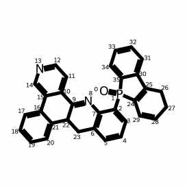 O=P1(c2cccc3c2N=C2c4ccncc4-c4ccccc4C2C3)C2=C(CCC=C2)c2ccccc21